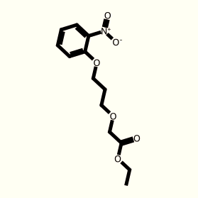 CCOC(=O)COCCCOc1ccccc1[N+](=O)[O-]